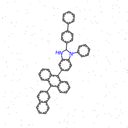 c1ccc(-c2ccc(C3Nc4cc(-c5c6ccccc6c(-c6ccc7ccccc7c6)c6ccccc56)ccc4N3c3ccccc3)cc2)cc1